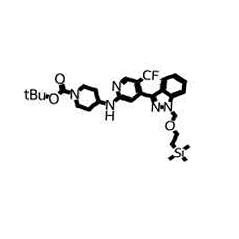 CC(C)(C)OC(=O)N1CCC(Nc2cc(-c3nn(COCC[Si](C)(C)C)c4ccccc34)c(C(F)(F)F)cn2)CC1